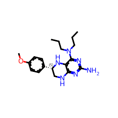 CCCN(CCC)c1nc(N)nc2c1N[C@@H](c1ccc(OC)cc1)CN2